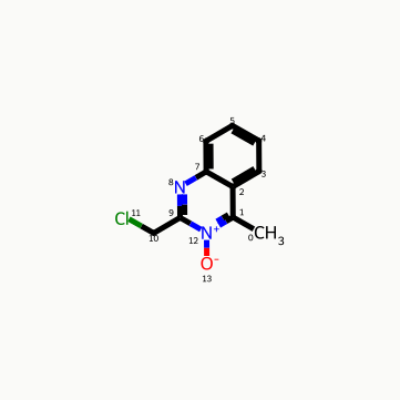 Cc1c2ccccc2nc(CCl)[n+]1[O-]